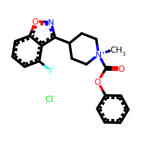 C[N+]1(C(=O)Oc2ccccc2)CCC(c2noc3cccc(F)c23)CC1.[Cl-]